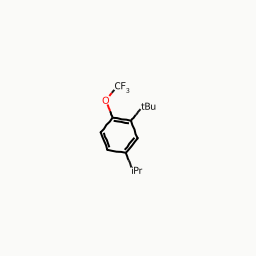 CC(C)c1ccc(OC(F)(F)F)c(C(C)(C)C)c1